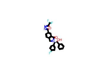 O=C1c2cc(-c3nnc(C(F)F)o3)ccc2CN1[C@H](c1ccc(F)cc1)C(O)c1ccccc1